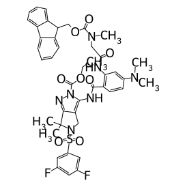 CCOC(=O)n1nc2c(c1NC(=O)c1ccc(N(C)C)cc1NC(=O)CN(C)C(=O)OCC1c3ccccc3-c3ccccc31)CN(S(=O)(=O)c1cc(F)cc(F)c1)C2(C)C